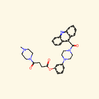 CN1CCN(C(=O)CCC(=O)Oc2cccc(N3CCN(C(=O)c4c5ccccc5nc5ccccc45)CC3)c2)CC1